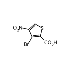 O=C(O)c1scc([N+](=O)[O-])c1Br